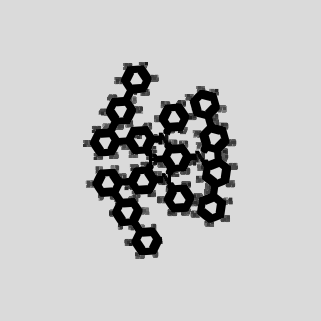 c1ccc(-c2ccc(-c3ccccc3-c3ccc4c(c3)B3c5cc(-c6ccccc6-c6ccc(-c7ccccc7)cc6)ccc5N(c5ccccc5)c5cc(-n6c7cc(-c8ccccc8)ccc7c7ccc(-c8ccccc8)cc76)cc(c53)N4c3ccccc3)cc2)cc1